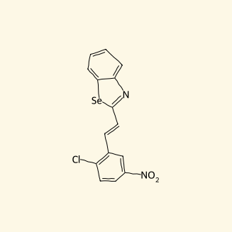 O=[N+]([O-])c1ccc(Cl)c(C=Cc2nc3ccccc3[se]2)c1